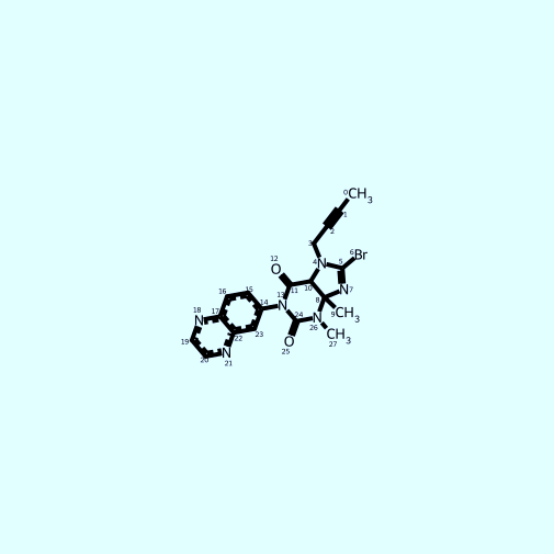 CC#CCN1C(Br)=NC2(C)C1C(=O)N(c1ccc3nccnc3c1)C(=O)N2C